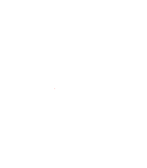 CCCCCCCCCCCCCCCCCCSC1CC2CCC1(C)C2(C)C